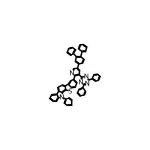 c1ccc(-c2nc(-c3ccccc3)nc(-c3cc(-c4ccc(-c5ccccc5)c(-c5ccccc5)c4)cnc3-c3ccc4sc5c(ccc6c7ccccc7n(-c7ccccc7)c65)c4c3)n2)cc1